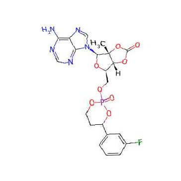 C[C@@]12OC(=O)O[C@@H]1[C@@H](COP1(=O)OCCC(c3cccc(F)c3)O1)O[C@H]2n1cnc2c(N)ncnc21